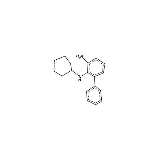 Nc1cccc(-c2ccccc2)c1NC1CCCCC1